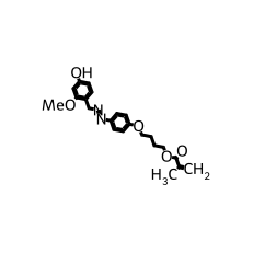 C=C(C)C(=O)OCCCCOc1ccc(N=NCc2ccc(O)cc2OC)cc1